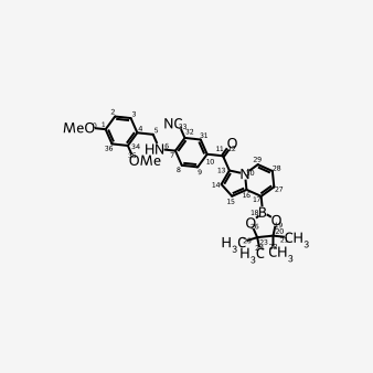 COc1ccc(CNc2ccc(C(=O)c3ccc4c(B5OC(C)(C)C(C)(C)O5)cccn34)cc2C#N)c(OC)c1